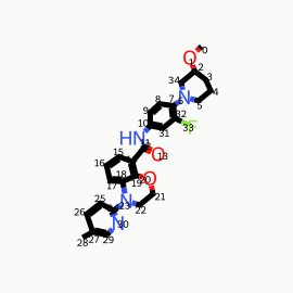 COC1CCCN(c2ccc(NC(=O)c3cccc4c3OCCN4c3ccc(C)cn3)cc2F)C1